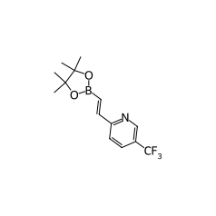 CC1(C)OB(/C=C/c2ccc(C(F)(F)F)cn2)OC1(C)C